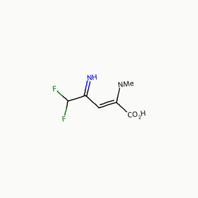 CN/C(=C\C(=N)C(F)F)C(=O)O